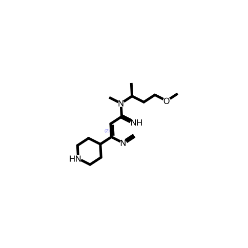 C=N/C(=C\C(=N)N(C)C(C)CCOC)C1CCNCC1